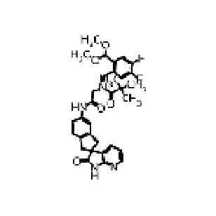 COC(OC)c1cc(F)c(F)cc1CN(CC(=O)Nc1ccc2c(c1)CC1(C2)C(=O)Nc2ncccc21)C(=O)C(C)(C)C